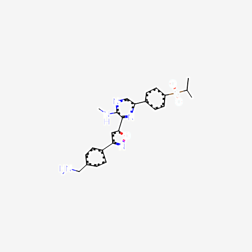 CNCc1ccc(-c2cc(-c3nc(-c4ccc(S(=O)(=O)C(C)C)cc4)cnc3NC)on2)cc1